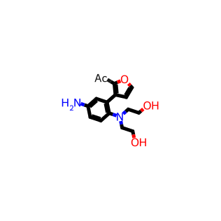 CC(=O)c1occc1-c1cc(N)ccc1N(CCO)CCO